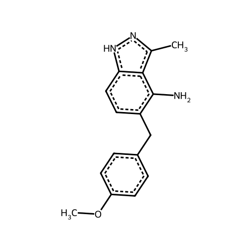 COc1ccc(Cc2ccc3[nH]nc(C)c3c2N)cc1